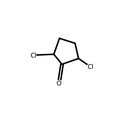 O=C1C(Cl)CCC1Cl